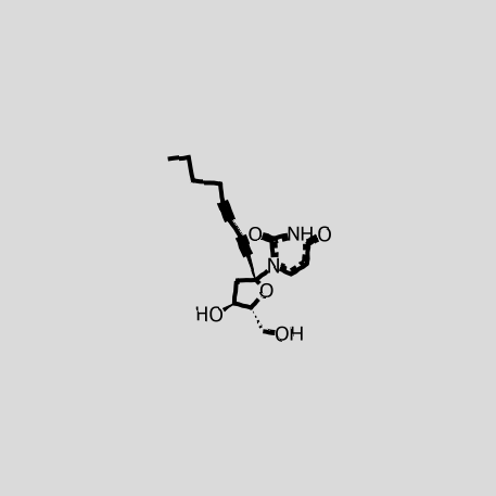 CCCCC#CC#C[C@]1(n2ccc(=O)[nH]c2=O)C[C@H](O)[C@@H](CO)O1